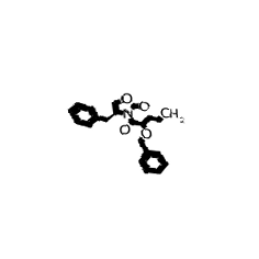 C=CCC(OCc1ccccc1)C(=O)N1C(=O)OC[C@@H]1Cc1ccccc1